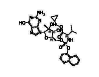 CC(C)[C@H](NP(=O)(OC[C@H]1OC(n2cnc3c(O)nc(N)nc32)[C@](C)(O)[C@@H]1O)Oc1cccc2ccccc12)C(=O)OCC1CC1